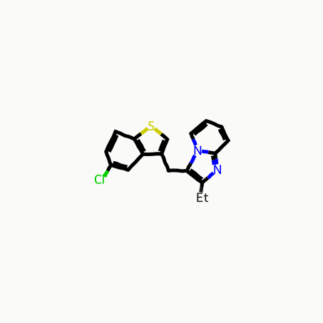 CCc1nc2ccccn2c1Cc1csc2ccc(Cl)cc12